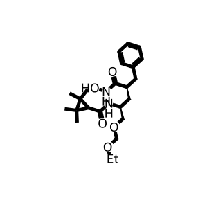 CCOCOC[C@H](C[C@H](Cc1ccccc1)C(=O)NO)NC(=O)C1C(C)(C)C1(C)C